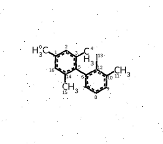 Cc1cc(C)c(-c2cccc(C)c2I)c(C)c1